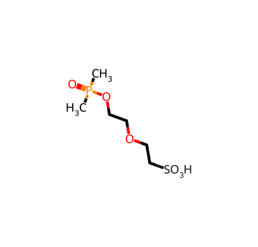 CP(C)(=O)OCCOCCS(=O)(=O)O